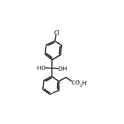 O=C(O)Cc1ccccc1C(O)(O)c1ccc(Cl)cc1